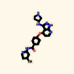 N#Cc1ccnc(NC(=O)c2ccc(Oc3ccnc4[nH]nc(N[C@@H]5CCNC5)c34)cc2)c1